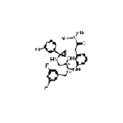 CCCN(CCC)C(=O)Cc1cccc(N[C@@H](Cc2cc(F)cc(F)c2)[C@H](O)CNC2(c3cccc(CC)c3)CC2)c1